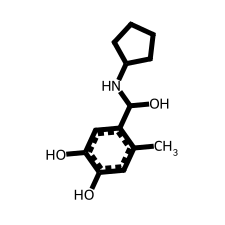 Cc1cc(O)c(O)cc1C(O)NC1CCCC1